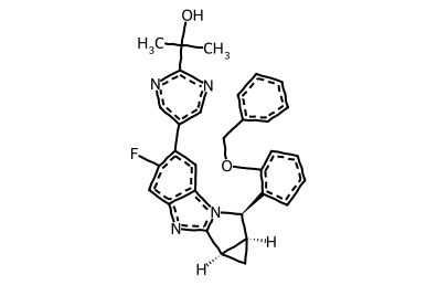 CC(C)(O)c1ncc(-c2cc3c(cc2F)nc2n3[C@@H](c3ccccc3OCc3ccccc3)[C@H]3C[C@@H]23)cn1